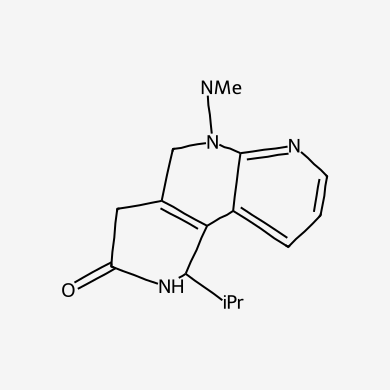 CNN1CC2=C(c3cccnc31)C(C(C)C)NC(=O)C2